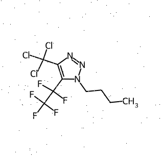 CCCCn1nnc(C(Cl)(Cl)Cl)c1C(F)(F)C(F)(F)F